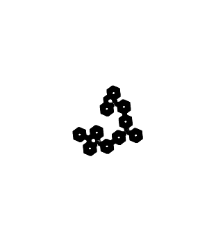 c1ccc(C2c3ccccc3N(c3cccc(-c4ccc(N(c5ccccc5)c5ccc(-c6cccc(N7c8ccccc8Cc8ccccc87)c6)cc5)cc4)c3)c3ccccc32)cc1